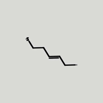 [CH2]CC=CCC[S]